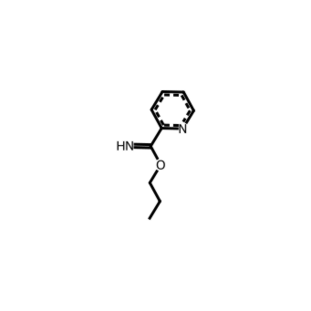 CCCOC(=N)c1ccccn1